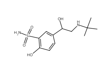 CC(C)(C)NCC(O)c1ccc(O)c(S(N)(=O)=O)c1